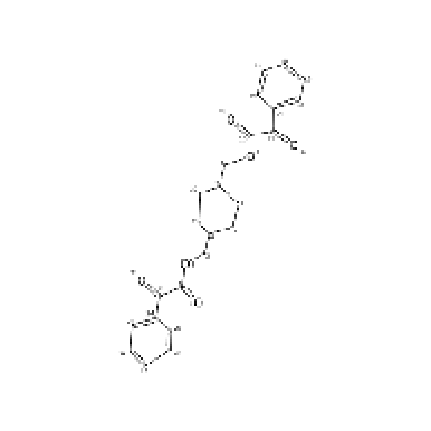 O=C(OCC1CCC(COC(=O)C(=O)c2ccccc2)CC1)C(=O)c1ccccc1